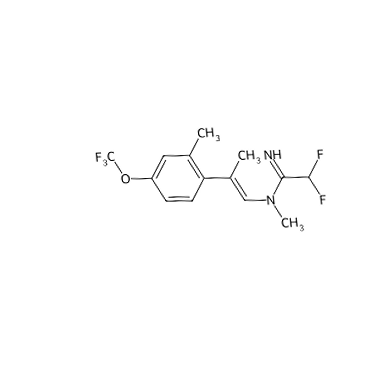 C/C(=C\N(C)C(=N)C(F)F)c1ccc(OC(F)(F)F)cc1C